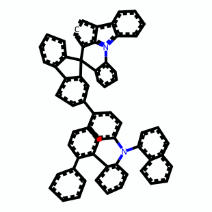 c1ccc(-c2ccccc2-c2ccccc2N(c2ccc(-c3ccc4c(c3)C3(c5ccccc5-4)c4ccccc4-n4c5ccccc5c5cccc3c54)cc2)c2cccc3ccccc23)cc1